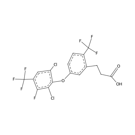 O=C(O)CCc1cc(Oc2c(Cl)cc(C(F)(F)F)c(F)c2Cl)ccc1C(F)(F)F